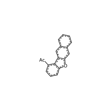 CC(=O)c1cccc2oc3cc4ccccc4cc3c12